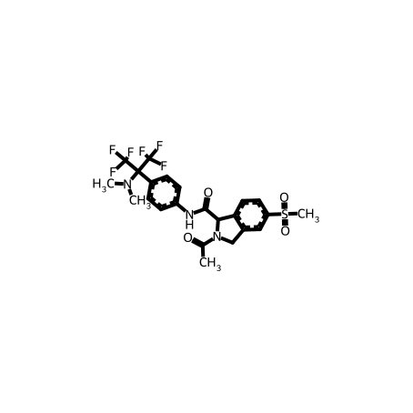 CC(=O)N1Cc2cc(S(C)(=O)=O)ccc2C1C(=O)Nc1ccc(C(N(C)C)(C(F)(F)F)C(F)(F)F)cc1